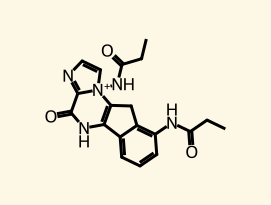 CCC(=O)Nc1cccc2c1CC1=C2NC(=O)C2=NC=C[N+]21NC(=O)CC